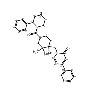 CC1(C)CN(C(=O)N2CCNCC2c2ccccc2)CCC1(O)Cn1cnc(-c2ccccc2)cc1=O